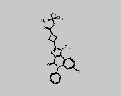 Cn1c(C2CN(C(=O)OC(C)(C)C)C2)nc2c(=O)n(-c3ccccc3)c3cc(Cl)ccc3c21